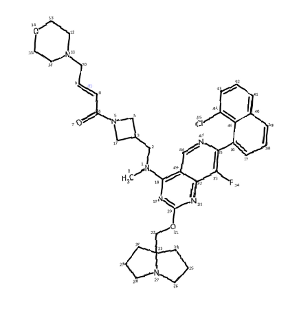 CN(CC1CN(C(=O)/C=C/CN2CCOCC2)C1)c1nc(OCC23CCCN2CCC3)nc2c(F)c(-c3cccc4cccc(Cl)c34)ncc12